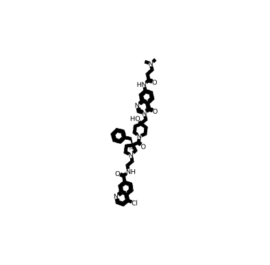 CN(C)CCC(=O)Nc1ccc2c(=O)n(CC3(O)CCN(C(=O)[C@@]4(Cc5ccccc5)CCN(CCNC(=O)c5ccc6c(Cl)ccnc6c5)C4)CC3)cnc2c1